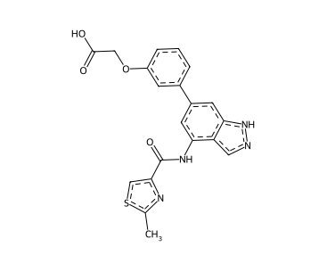 Cc1nc(C(=O)Nc2cc(-c3cccc(OCC(=O)O)c3)cc3[nH]ncc23)cs1